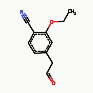 CCOc1cc(CC=O)ccc1C#N